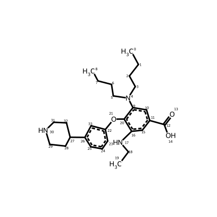 CCCCN(CCCC)c1cc(C(=O)O)cc(NCC)c1Oc1cccc(C2CCNCC2)c1